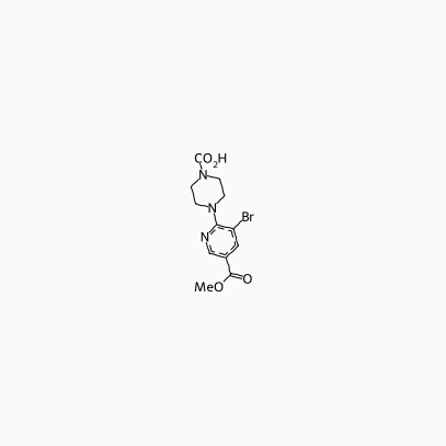 COC(=O)c1cnc(N2CCN(C(=O)O)CC2)c(Br)c1